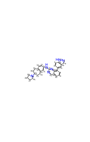 c1cc(-c2ccc3[nH]ncc3c2)c2nc(Nc3ccc4c(c3)CC[C@@H](N3CCCC3)CC4)ncc2c1